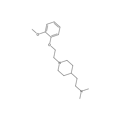 COc1ccccc1OCCN1CCC(CCN(C)C)CC1